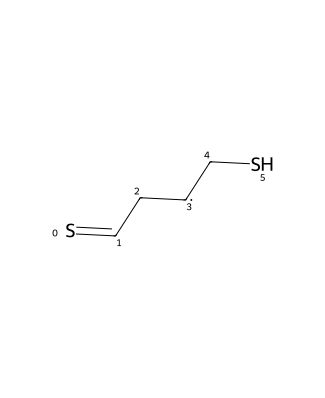 S=CC[CH]CS